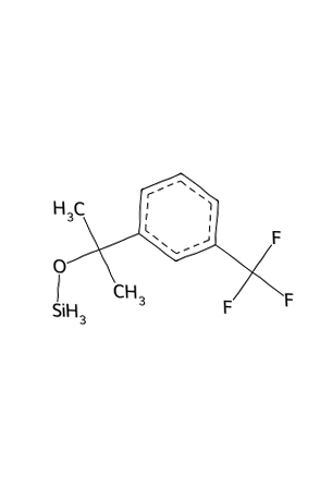 CC(C)(O[SiH3])c1cccc(C(F)(F)F)c1